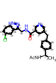 CC(=O)N[C@H](C)c1ccc(Cc2cncc(C(=O)NCc3n[nH]c4ccc(Cl)cc34)c2)cc1